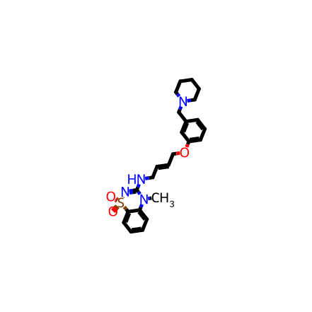 CN1C(NC/C=C/COc2cccc(CN3CCCCC3)c2)=NS(=O)(=O)c2ccccc21